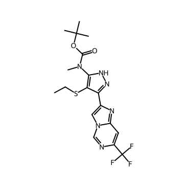 CCSc1c(-c2cn3cnc(C(F)(F)F)cc3n2)n[nH]c1N(C)C(=O)OC(C)(C)C